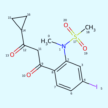 CN(c1cc(I)ccc1C(=O)CC(=O)C1CC1)S(C)(=O)=O